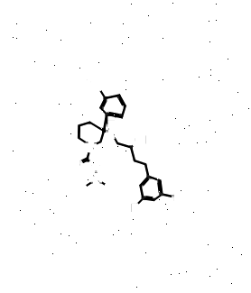 CN(C)OC(=O)N1CCCC(NCC(O)CCc2cc(F)cc(F)c2)(c2cccc(C(C)(C)C)c2)C1